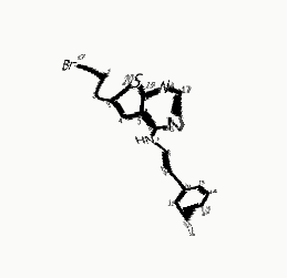 BrCCc1cc2c(NC=Cc3ccccc3)ncnc2s1